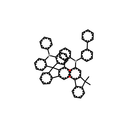 CC1(C)c2ccccc2-c2ccc(N(c3cccc(-c4ccccc4)c3)c3ccccc3-c3cccc4c3C3(c5ccccc5-4)c4ccccc4N(c4ccccc4)c4ccccc43)cc21